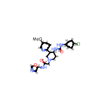 COc1ccc(C2CN(CC(=O)Nc3cnco3)CCC2NC(=O)Nc2ccc(Cl)cc2)nc1